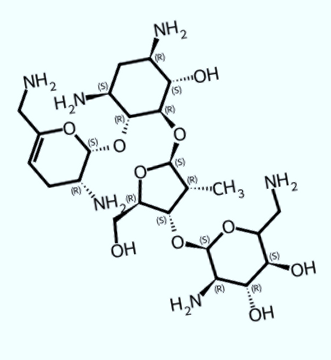 C[C@H]1[C@H](O[C@@H]2[C@@H](O)[C@H](N)C[C@H](N)[C@H]2O[C@H]2OC(CN)=CC[C@H]2N)O[C@H](CO)[C@H]1O[C@H]1OC(CN)[C@@H](O)[C@H](O)[C@H]1N